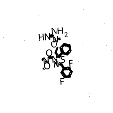 CON(C)C(=O)N1N=C(c2cc(F)ccc2F)SC1(CCON(C)C(=N)N)c1ccccc1